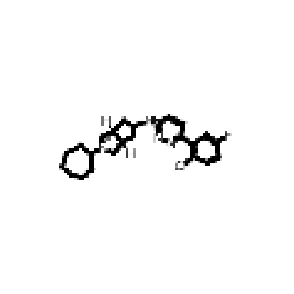 Fc1ccc(Cl)c(-c2ccc(NC3C[C@@H]4CN(C5CCCCCC5)C[C@@H]4C3)nn2)c1